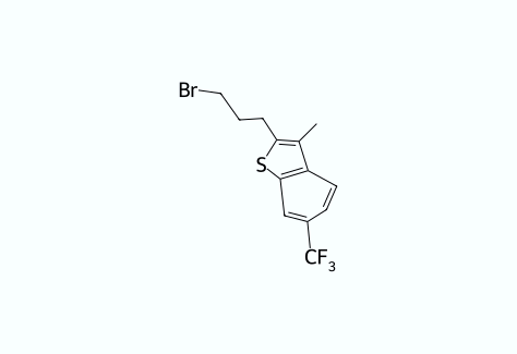 Cc1c(CCCBr)sc2cc(C(F)(F)F)ccc12